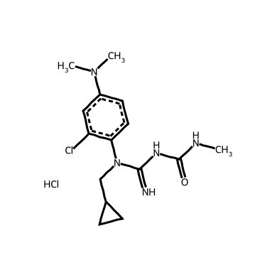 CNC(=O)NC(=N)N(CC1CC1)c1ccc(N(C)C)cc1Cl.Cl